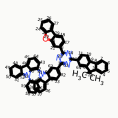 CC1(C)c2ccccc2-c2ccc(-c3nc(-c4ccc5c(c4)oc4ccccc45)nc(-c4ccc5c6ccccc6n(-c6cccc7c8ccccc8n(-c8ccccc8)c67)c5c4)n3)cc21